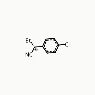 CC[C@@H](C#N)c1ccc(Cl)cc1